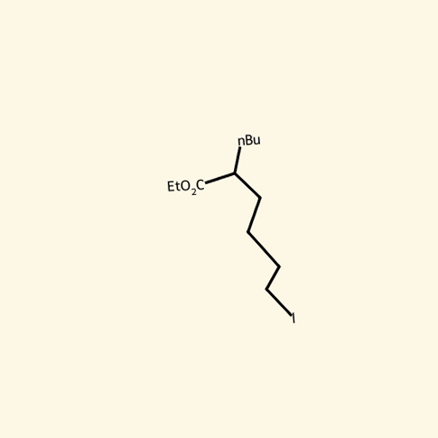 CCCCC(CCCCI)C(=O)OCC